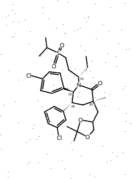 CC[C@@H](CCS(=O)(=O)C(C)C)N1C(=O)[C@@](C)(CC2COC(C)(C)O2)C[C@H](c2cccc(Cl)c2)[C@H]1c1ccc(Cl)cc1